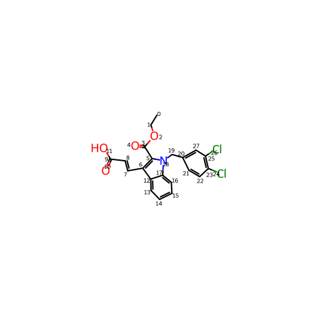 CCOC(=O)c1c(C=CC(=O)O)c2ccccc2n1Cc1ccc(Cl)c(Cl)c1